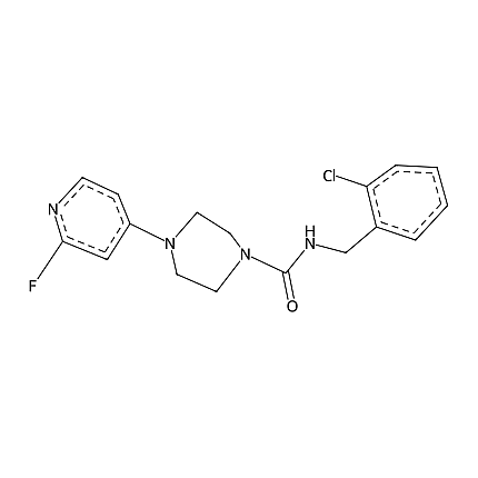 O=C(NCc1ccccc1Cl)N1CCN(c2ccnc(F)c2)CC1